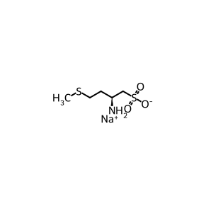 CSCC[C@H](N)CS(=O)(=O)[O-].[Na+]